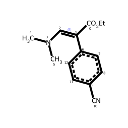 CCOC(=O)/C(=C/N(C)C)c1ccc(C#N)cc1